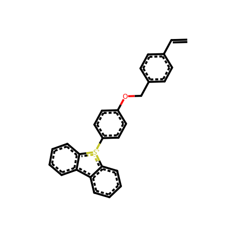 C=Cc1ccc(COc2ccc(-[s+]3c4ccccc4c4ccccc43)cc2)cc1